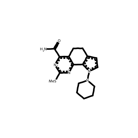 CSc1nc(C(N)=O)c2c(n1)-c1c(ccn1N1CCCCC1)CC2